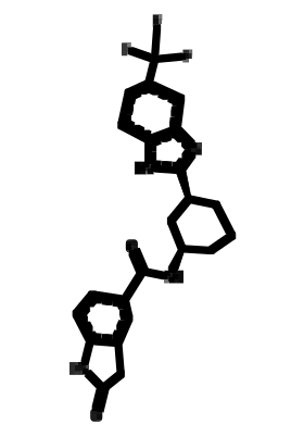 O=C1Cc2cc(C(=O)N[C@@H]3CCC[C@H](c4nc5cc(C(F)(F)F)ccc5[nH]4)C3)ccc2N1